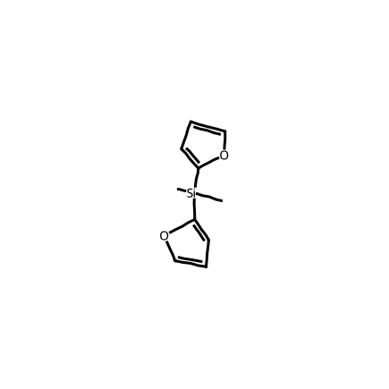 C[Si](C)(c1ccco1)c1ccco1